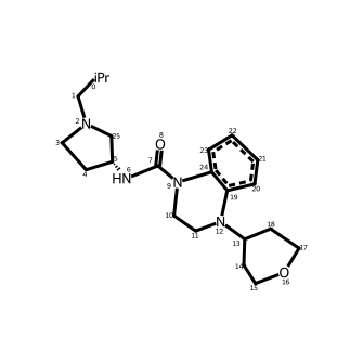 CC(C)CN1CC[C@@H](NC(=O)N2CCN(C3CCOCC3)c3ccccc32)C1